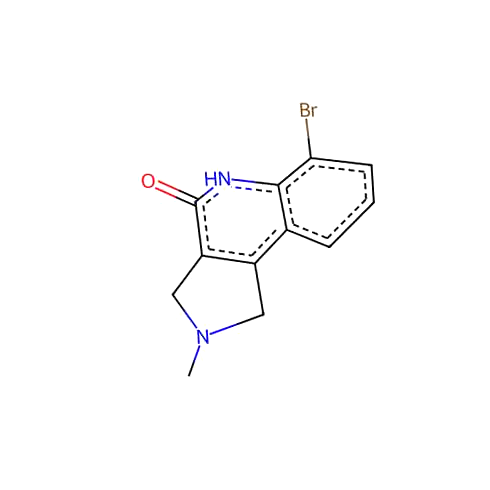 CN1Cc2c(c3cccc(Br)c3[nH]c2=O)C1